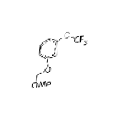 COCOc1cccc(OC(F)(F)F)c1